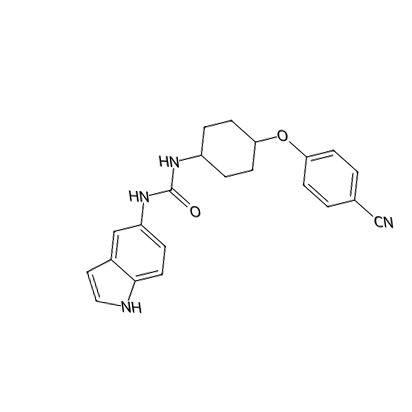 N#Cc1ccc(OC2CCC(NC(=O)Nc3ccc4[nH]ccc4c3)CC2)cc1